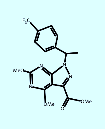 COC(=O)c1nn(C(C)c2ccc(C(F)(F)F)cc2)c2nc(OC)nc(OC)c12